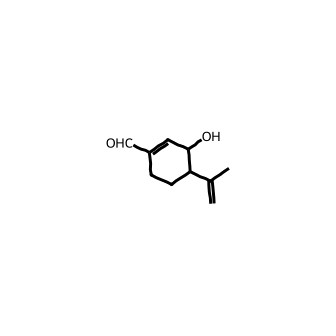 C=C(C)C1CCC(C=O)=CC1O